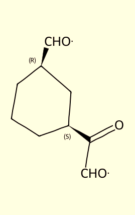 O=[C]C(=O)[C@H]1CCC[C@@H]([C]=O)C1